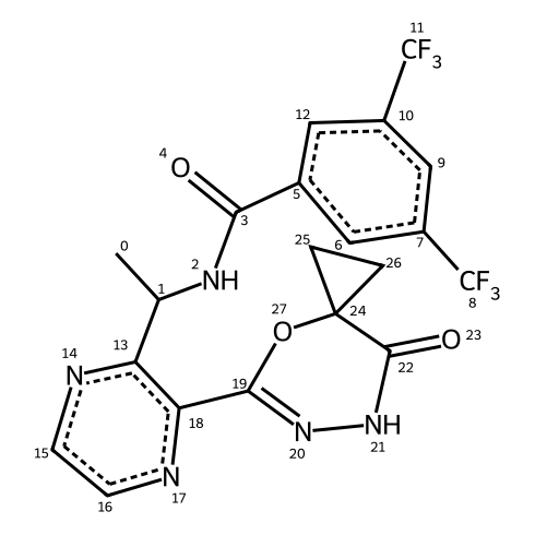 CC(NC(=O)c1cc(C(F)(F)F)cc(C(F)(F)F)c1)c1nccnc1C1=NNC(=O)C2(CC2)O1